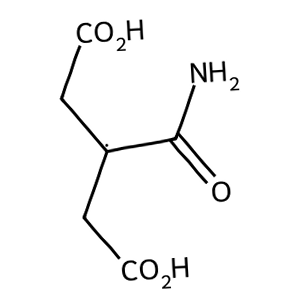 NC(=O)[C](CC(=O)O)CC(=O)O